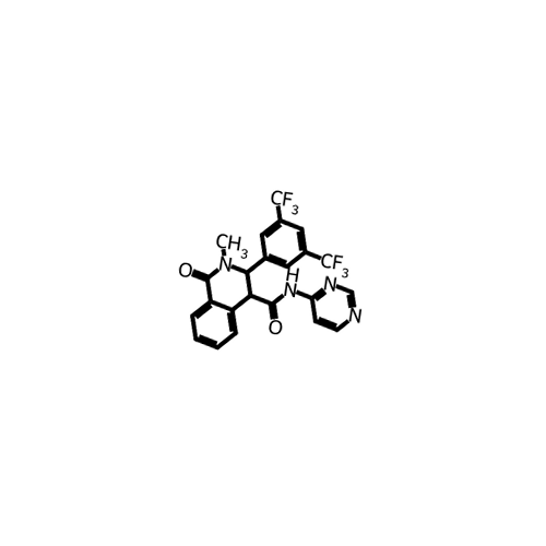 CN1C(=O)c2ccccc2C(C(=O)Nc2ccncn2)C1c1cc(C(F)(F)F)cc(C(F)(F)F)c1